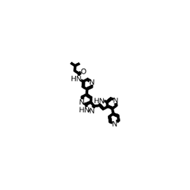 CC(C)CC(=O)Nc1cncc(-c2cnc3[nH]nc(-c4cc5c(-c6ccncc6)cncc5[nH]4)c3c2)c1